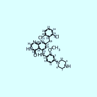 COc1cc(N2CCNCC2)ccc1Nc1cc(Cc2c(Cl)cccc2Cl)nc2nc[nH]c(=O)c12